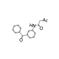 CC(=O)CC(=O)Nc1cccc(C(=O)c2ccccc2)c1